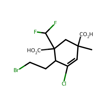 CC1(C(=O)O)C=C(Cl)C(CCBr)C(C(=O)O)(C(F)F)C1